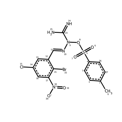 Cc1ccc(S(=O)(=O)ON(N=Cc2cc(Cl)cc([N+](=O)[O-])c2Br)C(=N)N)cc1